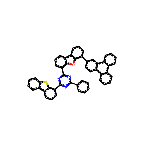 c1ccc(-c2nc(-c3cccc4c3oc3c(-c5ccc6c7ccccc7c7ccccc7c6c5)cccc34)nc(-c3cccc4c3sc3ccccc34)n2)cc1